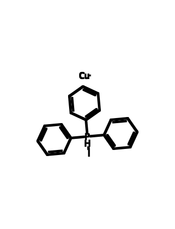 I[PH](c1ccccc1)(c1ccccc1)c1ccccc1.[Cu]